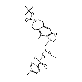 CCO[C@H](COS(=O)(=O)c1ccc(C)cc1)CN1CCOc2cc3c(c(C)c21)CCN(C(=O)OC(C)(C)C)CC3